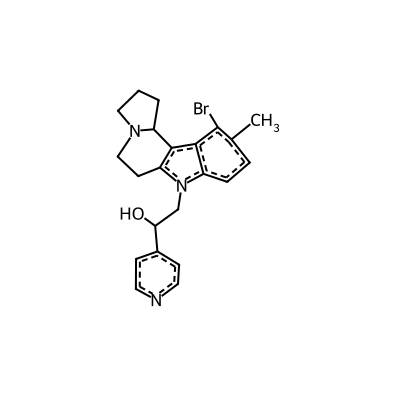 Cc1ccc2c(c1Br)c1c(n2CC(O)c2ccncc2)CCN2CCCC12